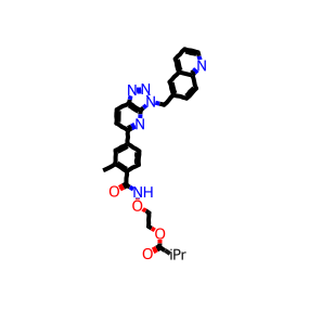 Cc1cc(-c2ccc3nnn(Cc4ccc5ncccc5c4)c3n2)ccc1C(=O)NOCCOC(=O)C(C)C